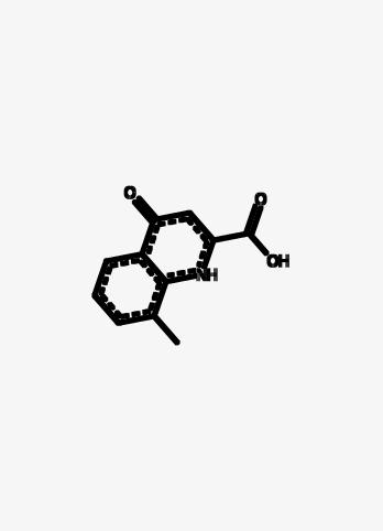 Cc1cccc2c(=O)cc(C(=O)O)[nH]c12